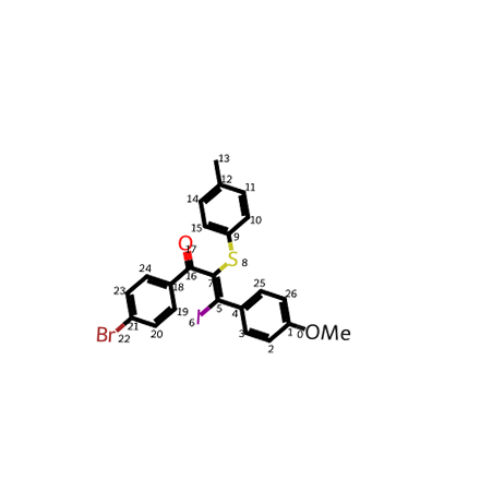 COc1ccc(C(I)=C(Sc2ccc(C)cc2)C(=O)c2ccc(Br)cc2)cc1